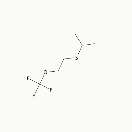 CC(C)SCCOC(F)(F)F